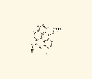 CCOC(=O)COc1ccc(Cl)cc1C1c2ccccc2CCN1C(=O)CBr